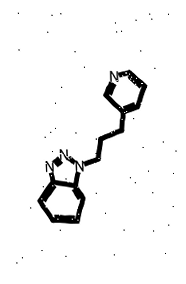 [CH](Cc1cccnc1)Cn1nnc2ccccc21